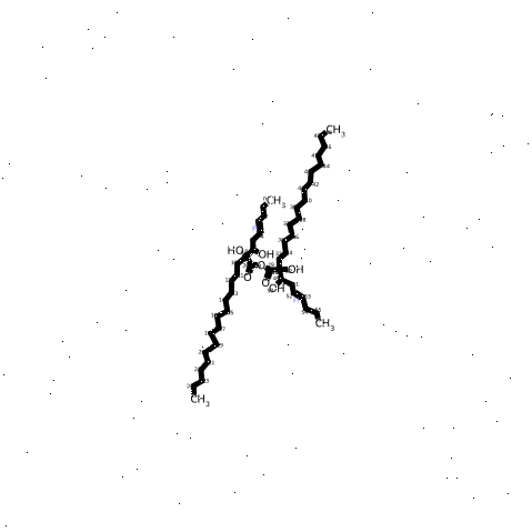 CCC/C=C/CC(O)C(O)(CCCCCCCCCCCCCCCC)C(=O)OC(=O)C(O)(CCCCCCCCCCCCCCCC)C(O)C/C=C/CCC